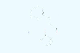 CN(c1cccc(S(=O)(=O)O)c1)C1COc2cscc2O1.N